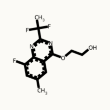 Cc1cc(F)c2nc(C(C)(F)F)nc(OCCO)c2c1